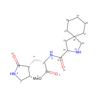 COC(=O)[C@H](C[C@@H]1CCNC1=O)NC(=O)C1CC2(CCCCC2)CN1